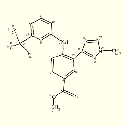 COC(=O)c1ccc(Nc2cccc(C(C)(F)P)c2)c(-c2nnn(C)n2)c1